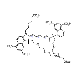 C=C(/C=C/C=C/C=C1/N(CCCCCC(=O)O)c2ccc3c(S(=O)(=O)O)cc(S(=O)(=O)O)cc3c2C1(C)CCOCCOCCOC)C(C)(CCOCCOCCOC)c1c(C)ccc2c(S(=O)(=O)O)cc(S(=O)(=O)O)cc12